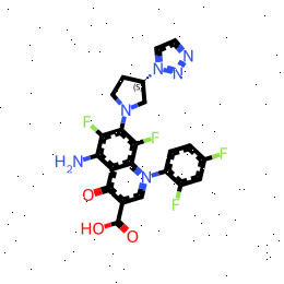 Nc1c(F)c(N2CC[C@H](n3ccnn3)C2)c(F)c2c1c(=O)c(C(=O)O)cn2-c1ccc(F)cc1F